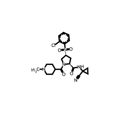 CN1CCC(C(=O)N2C[C@H](S(=O)(=O)c3ccccc3Cl)C[C@H]2C(=O)NC2(C#N)CC2)CC1